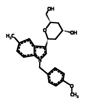 COc1ccc(Cn2cc([C@H]3C[C@@H](O)C[C@@H](CO)O3)c3cc(C)ccc32)cc1